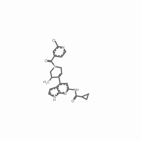 CC1CN(C(=O)c2ccnc(Cl)c2)CC=C1c1cc(NC(=O)C2CC2)nc2[nH]ccc12